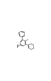 Cc1c(C2=CCCCC2)cc(F)cc1-c1ccccc1